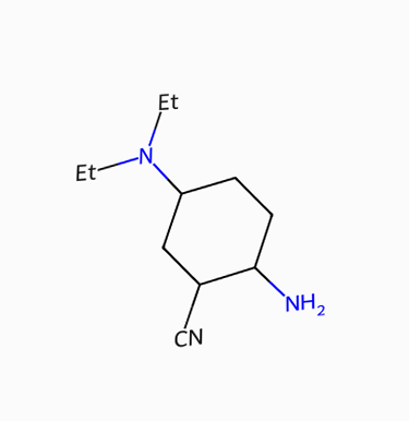 CCN(CC)C1CCC(N)C(C#N)C1